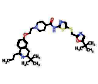 CCCC1=NC(C(C)(C)C)Cc2cc(OCCN3CCC(C(=O)Nc4ncc(SCc5ncc(C(C)(C)C)o5)s4)CC3)ccc21